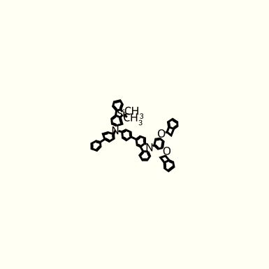 C[Si]1(C)c2ccccc2-c2ccc(N(c3ccc(-c4ccccc4)cc3)c3ccc(-c4ccc5c(c4)c4ccccc4n5-c4cc(OC5Cc6ccccc65)cc(OC5Cc6ccccc65)c4)cc3)cc21